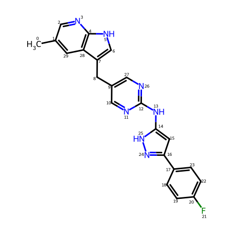 Cc1cnc2[nH]cc(Cc3cnc(Nc4cc(-c5ccc(F)cc5)n[nH]4)nc3)c2c1